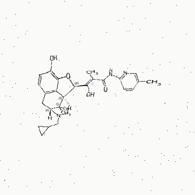 C/C(C(=O)Nc1ccc(C)cn1)=C(/O)[C@@H]1Oc2c(O)ccc3c2[C@@]12CCN(CC1CC1)[C@H](C3)[C@@]2(C)O